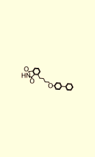 O=C1NC(=O)c2c(CCCCOc3ccc(-c4ccccc4)cc3)cccc21